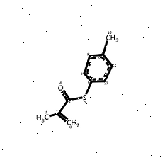 C=C(C)C(=O)Sc1ccc(C)cc1